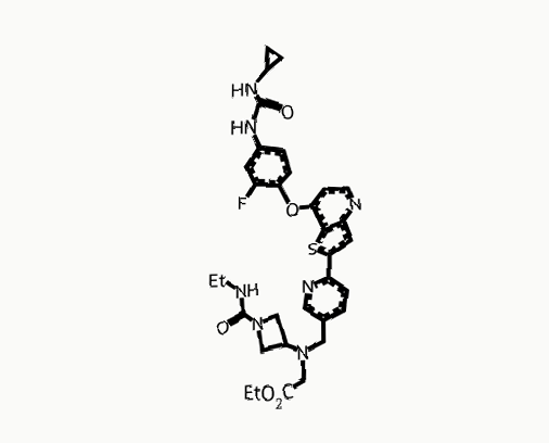 CCNC(=O)N1CC(N(CC(=O)OCC)Cc2ccc(-c3cc4nccc(Oc5ccc(NC(=O)NC6CC6)cc5F)c4s3)nc2)C1